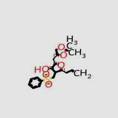 C=CC[C@@H]1O[C@H](C[C@H]2COC(C)(C)O2)[C@H](O)C1CS(=O)(=O)c1ccccc1